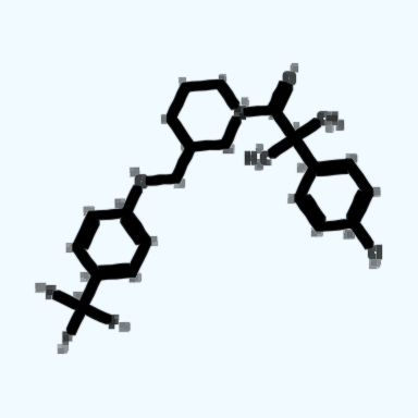 CC(C)(C(=O)N1CCCC(COc2ccc(C(F)(F)F)cc2)C1)c1ccc(Cl)cc1